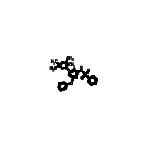 CC1(C)CN(c2cc(Oc3ccccc3)nc(NS(=O)(=O)c3ccccc3)n2)C(C)(C)C1